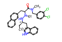 CCN(N[C@H](CC(=O)O)Cc1c[nH]c2ccccc12)C(Cc1ccc2ccccc2c1)C(=O)N(C)Cc1ccc(Cl)c(Cl)c1